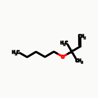 C=C[Si](C)(C)OCCCCC